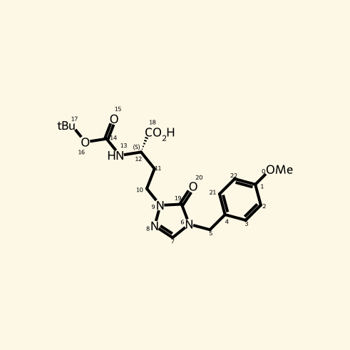 COc1ccc(Cn2cnn(CC[C@H](NC(=O)OC(C)(C)C)C(=O)O)c2=O)cc1